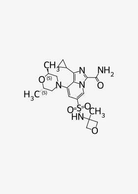 C[C@H]1CN(c2cc(S(=O)(=O)NC3(C)COC3)cn3c(C(N)=O)nc(C4CC4)c23)C[C@H](C)O1